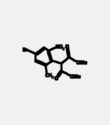 COC(=O)C(C(=O)OC)c1c(C)cc(Br)cc1[N+](=O)[O-]